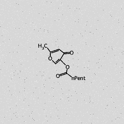 CCCCCC(=O)Oc1coc(C)cc1=O